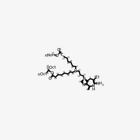 C=C1NC(N)=C(CC)Cc2c1ncn2CCCN(CCCCCCCC(=O)OCCCCCCCCC)CCCCCCCC(=O)OC(CCCCCCCC)CCCCCCCC